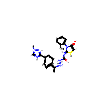 CCCCc1ccccc1N1C(=O)CS/C1=N\C(=O)NNC(C)c1ccc(-c2ncn(C)n2)cc1